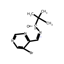 CC(C)(C)[S@@+]([O-])/N=C\c1ncncc1Br